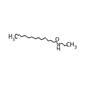 CCCCCCCCCCCCCC(=O)NCCC